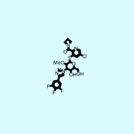 COC1C(Sc2cc(Cl)cnc2C(=O)N2CCC2)OC(CO)C(O)C1n1cc(-c2cc(F)c(F)c(F)c2)nn1